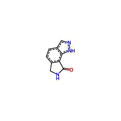 O=C1NCc2ccc3cn[nH]c3c21